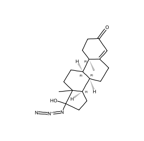 CC12CC[C@@H]3[C@@H](CCC4=CC(=O)CC[C@@]43C)[C@H]1CCC2(O)N=[N+]=[N-]